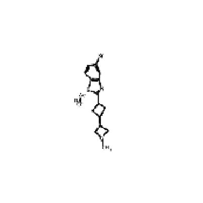 CC(=O)[O-].CN1CC(C2CC(c3nc4cc(Br)ccc4s3)C2)C1.[Na+]